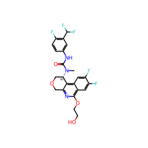 CN(C(=O)Nc1ccc(F)c(C(F)F)c1)[C@H]1COCc2nc(OCCO)c3cc(F)c(F)cc3c21